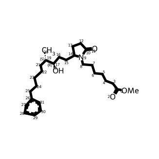 COC(=O)CCCCCCN1C(=O)CCC1CC[C@@H](O)[C@@H](C)CCCCCc1ccccc1